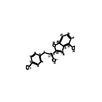 [O-][S+](Cc1ccc(Cl)cc1)c1nc2c(Cl)cccc2o1